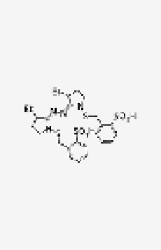 CCC1CCN(SCc2ccccc2S(=O)(=O)O)C1=NN=C1C(CC)CCN1SCc1ccccc1S(=O)(=O)O